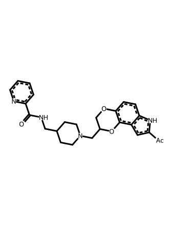 CC(=O)c1cc2c3c(ccc2[nH]1)OCC(CN1CCC(CNC(=O)c2ccccn2)CC1)O3